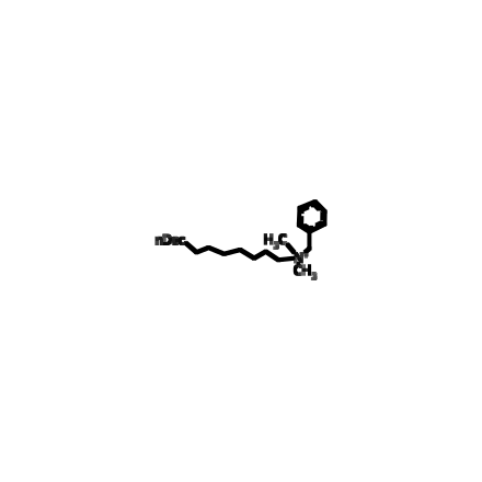 CCCCCCCCCCCCCCCCC[N+](C)(C)Cc1ccccc1